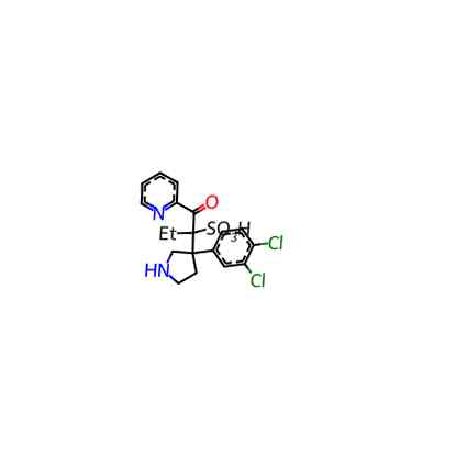 CCC(C(=O)c1ccccn1)(C1(c2ccc(Cl)c(Cl)c2)CCNC1)S(=O)(=O)O